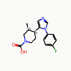 C[C@@H]1CN(C(=O)O)CC[C@@H]1c1cncn1-c1ccc(F)cc1